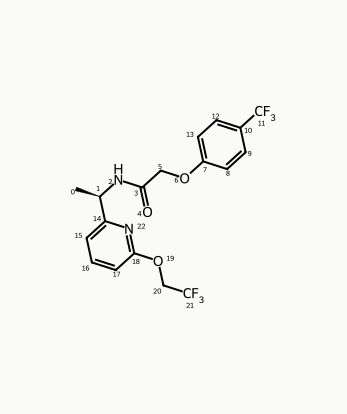 C[C@@H](NC(=O)COc1ccc(C(F)(F)F)cc1)c1cccc(OCC(F)(F)F)n1